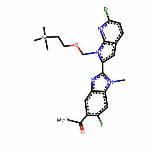 COC(=O)c1cc2nc(-c3cc4ccc(Br)nc4n3COCC[Si](C)(C)C)n(C)c2cc1F